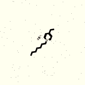 CCCCCCC[n+]1ccc(CC)cc1.[C-]#N